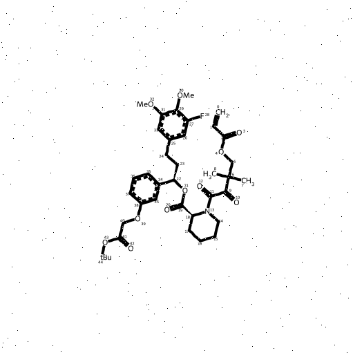 C=CC(=O)OCC(C)(C)C(=O)C(=O)N1CCCC[C@H]1C(=O)O[C@H](CCc1cc(F)c(OC)c(OC)c1)c1cccc(OCC(=O)OC(C)(C)C)c1